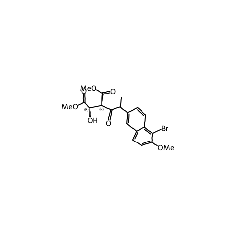 COC(=O)[C@@H](C(=O)C(C)c1ccc2c(Br)c(OC)ccc2c1)[C@@H](O)C(=O)OC